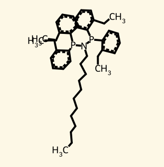 CCCCCCCCCCCCN(P(c1ccccc1CC)c1ccccc1CC)P(c1ccccc1CC)c1ccccc1CC